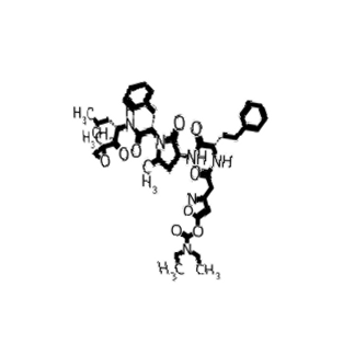 CCN(CC)C(=O)Oc1cc(CC(=O)N[C@@H](CCc2ccccc2)C(=O)N[C@H]2CC(C)N([C@@H](Cc3ccccc3)C(=O)N[C@@H](CC(C)C)C(=O)C3(C)CO3)C2=O)no1